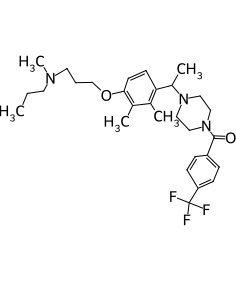 CCCN(C)CCCOc1ccc(C(C)N2CCN(C(=O)c3ccc(C(F)(F)F)cc3)CC2)c(C)c1C